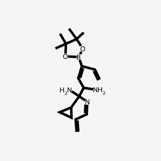 C=C/C=N\C(N)(C(N)/C=C(\C=C)B1OC(C)(C)C(C)(C)O1)C1CC1